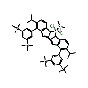 CC1=Cc2c(ccc(C(C)C)c2-c2cc([Si](C)(C)C)cc([Si](C)(C)C)c2)[CH]1[Zr]([Cl])([Cl])([CH]1C(C)=Cc2c1ccc(C(C)C)c2-c1cc([Si](C)(C)C)cc([Si](C)(C)C)c1)[SiH](C)C